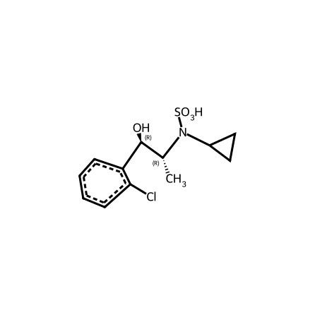 C[C@H]([C@H](O)c1ccccc1Cl)N(C1CC1)S(=O)(=O)O